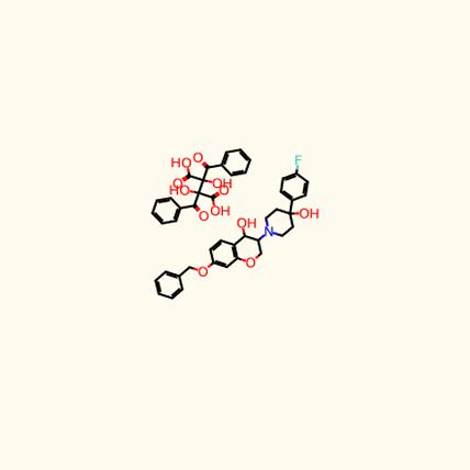 O=C(O)C(O)(C(=O)c1ccccc1)C(O)(C(=O)O)C(=O)c1ccccc1.OC1c2ccc(OCc3ccccc3)cc2OCC1N1CCC(O)(c2ccc(F)cc2)CC1